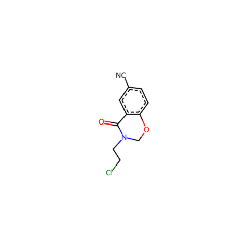 N#Cc1ccc2c(c1)C(=O)N(CCCl)CO2